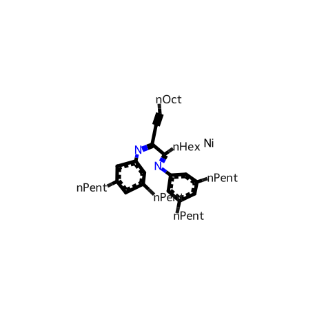 CCCCCCCCC#CC(=Nc1cc(CCCCC)cc(CCCCC)c1)C(CCCCCC)=Nc1cc(CCCCC)cc(CCCCC)c1.[Ni]